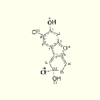 Oc1cc2oc3c(c2cc1Cl)=CC(O)(Cl)CC=3